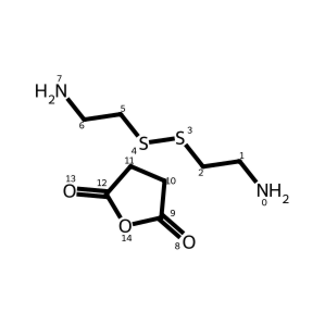 NCCSSCCN.O=C1CCC(=O)O1